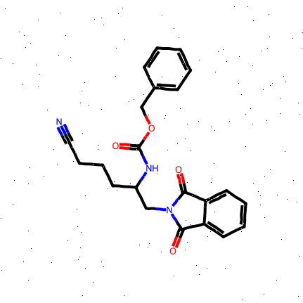 N#CCCCC(CN1C(=O)c2ccccc2C1=O)NC(=O)OCc1ccccc1